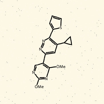 COc1ncc(-c2cc(C3CC3)c(-c3cccs3)nn2)c(OC)n1